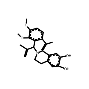 C=C(C)C1c2c(ccc(OC)c2OC)C(C)=C2c3cc(O)c(O)cc3CCN21